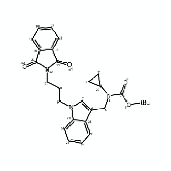 CC(C)(C)OC(=O)N(Cc1cn(CCCN2C(=O)c3ccccc3C2=O)c2ccccc12)C1CC1